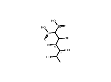 CC(O)[C@H](O)[C@@H](O)C(O)C(S(=O)O)S(=O)O